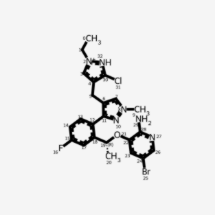 CC[n+]1cc(Cc2cn(C)nc2-c2ccc(F)cc2[C@@H](C)Oc2cc(Br)cnc2N)c(Cl)[nH]1